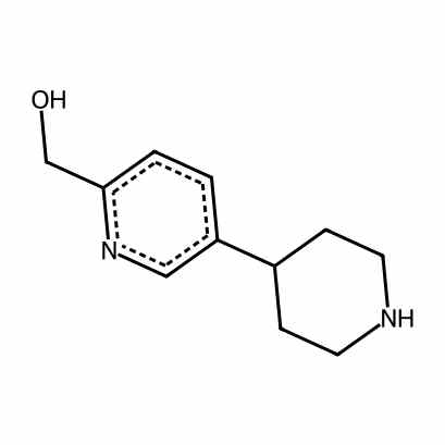 OCc1ccc(C2CCNCC2)cn1